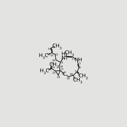 C=C1/C=C\N/C=C(/C)NC(CC/C(C)=C\C)CC2(CCC1C)CC2C(=C)C